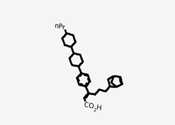 CCCC1CCC(C2CCC(c3ccc(/C(=C/C(=O)O)CCCC4CC5C=CC4C5)cc3)CC2)CC1